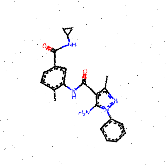 Cc1ccc(C(=O)NC2CC2)cc1NC(=O)c1c(C)nn(-c2ccccc2)c1N